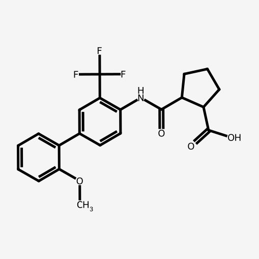 COc1ccccc1-c1ccc(NC(=O)C2CCCC2C(=O)O)c(C(F)(F)F)c1